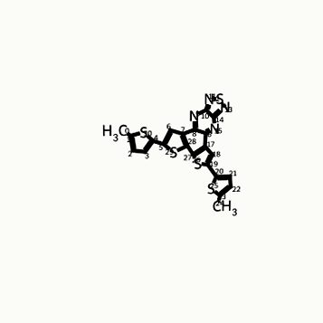 Cc1ccc(-c2cc3c4nc5nsnc5nc4c4cc(-c5ccc(C)s5)sc4c3s2)s1